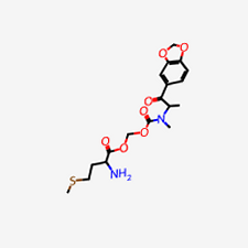 CSCCC(N)C(=O)OCOC(=O)N(C)C(C)C(=O)c1ccc2c(c1)OCO2